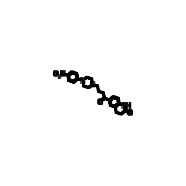 O=C1CCc2cc(C(=O)CCCN3CCN(c4ccc([N+](=O)[O-])cc4)CC3)ccc2N1